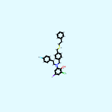 Oc1c(Cl)cc(I)cc1N(CCc1ccc(F)cc1)Cc1ccc(CSCCc2ccccc2)cc1